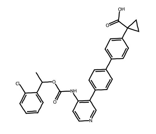 CC(OC(=O)Nc1ccncc1-c1ccc(-c2ccc(C3(C(=O)O)CC3)cc2)cc1)c1ccccc1Cl